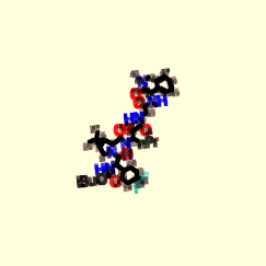 CCCC(NC(=O)C1C2C(CN1C(=O)C(NC(=O)OCC(C)C)C1CCC(F)(F)CC1)C2(C)C)C(=O)C(=O)NCC(=O)N[C@H](C(=O)N(C)C)c1ccccc1